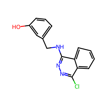 Oc1cccc(CNc2nnc(Cl)c3ccccc23)c1